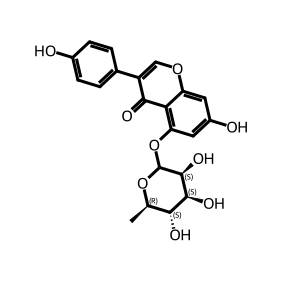 C[C@H]1OC(Oc2cc(O)cc3occ(-c4ccc(O)cc4)c(=O)c23)[C@@H](O)[C@@H](O)[C@@H]1O